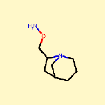 NOCC1CC2CCCN1C2